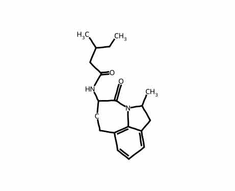 CCC(C)CC(=O)NC1CCc2cccc3c2N(C1=O)C(C)C3